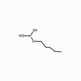 CCCCCOP(O)S